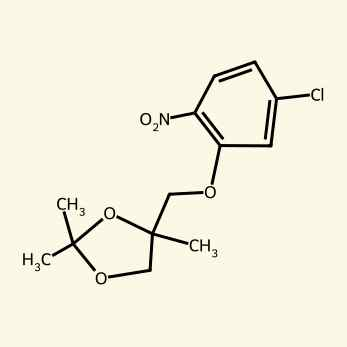 CC1(COc2cc(Cl)ccc2[N+](=O)[O-])COC(C)(C)O1